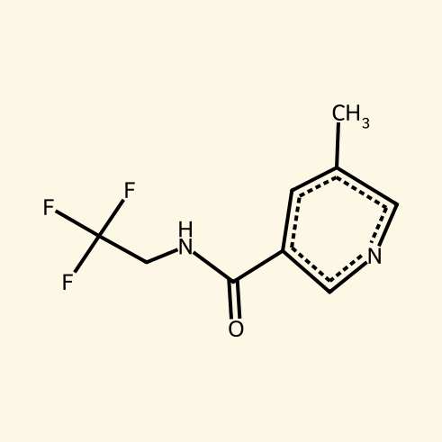 Cc1cncc(C(=O)NCC(F)(F)F)c1